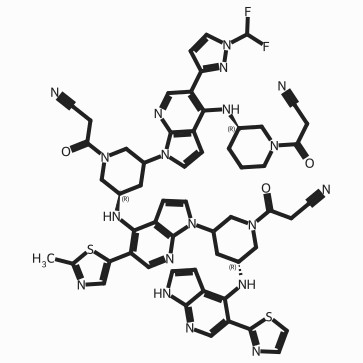 Cc1ncc(-c2cnc3c(ccn3C3C[C@@H](Nc4c(-c5nccs5)cnc5[nH]ccc45)CN(C(=O)CC#N)C3)c2N[C@@H]2CC(n3ccc4c(N[C@@H]5CCCN(C(=O)CC#N)C5)c(-c5ccn(C(F)F)n5)cnc43)CN(C(=O)CC#N)C2)s1